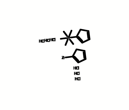 Cl.Cl.Cl.Cl.Cl.Cl.[CH3][Zr]([CH3])([CH3])([CH3])([CH3])[C]1=CC=CC1.[Zr][C]1=CC=CC1